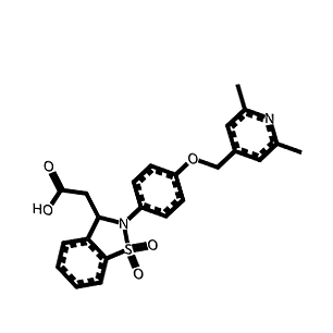 Cc1cc(COc2ccc(N3C(CC(=O)O)c4ccccc4S3(=O)=O)cc2)cc(C)n1